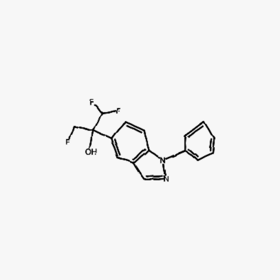 OC(CF)(c1ccc2c(cnn2-c2ccccc2)c1)C(F)F